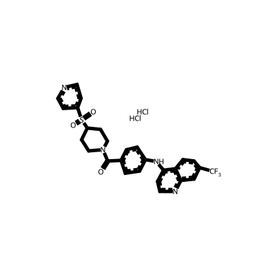 Cl.Cl.O=C(c1ccc(Nc2ccnc3cc(C(F)(F)F)ccc23)cc1)N1CCC(S(=O)(=O)c2ccncc2)CC1